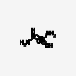 NCCc1c[nH]c2c1CC(O)(n1cc(CCN)c3cc(O)ccc31)C=C2